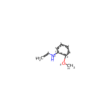 C=CNc1ccccc1OC